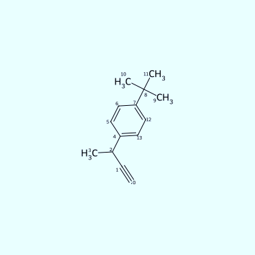 [C]#CC(C)c1ccc(C(C)(C)C)cc1